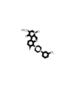 CCn1cc(C(=O)O)c(=O)c2c3ccc(F)c(N4CCN(c5cccc(C(F)(F)F)c5)CC4)c3ncc21